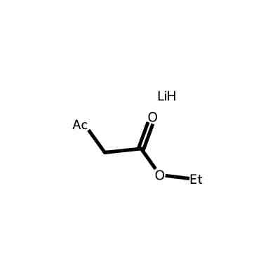 CCOC(=O)CC(C)=O.[LiH]